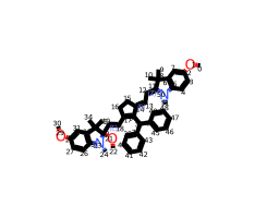 COc1ccc2c(c1)C(C)(C)/C(=C/C=C1\CCC(/C=C/C3(OC)N(C)c4ccc(OC)cc4C3(C)C)=C1C(c1ccccc1)c1ccccc1)N2C